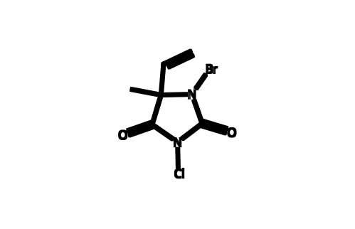 C=CC1(C)C(=O)N(Cl)C(=O)N1Br